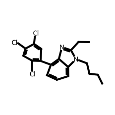 CCCCn1c(CC)nc2c(-c3cc(Cl)c(Cl)cc3Cl)cccc21